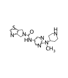 CN(c1ncc(NC(=O)N2Cc3ncsc3C2)cn1)C1CCNCC1